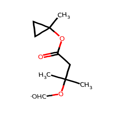 CC(C)(CC(=O)OC1(C)CC1)O[C]=O